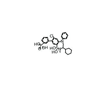 CN1C(C2CCCCC2)CN(c2ccccc2)c2cc(Cl)c(-c3cccc(P(=O)(O)O)c3)cc2S1(O)O